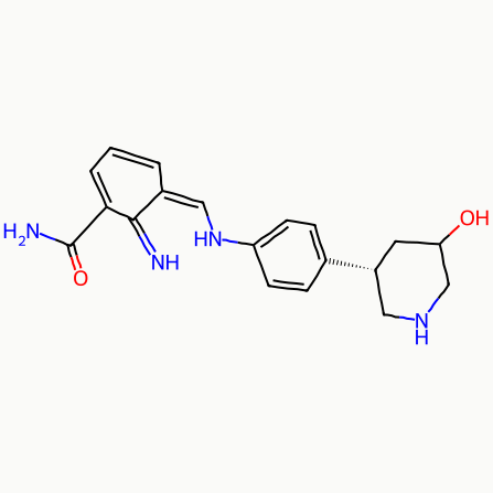 N=C1C(C(N)=O)=CC=C/C1=C/Nc1ccc([C@H]2CNCC(O)C2)cc1